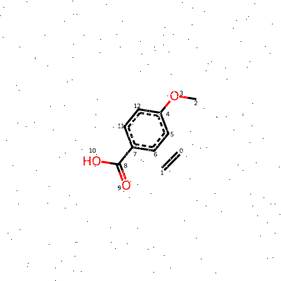 C=C.COc1ccc(C(=O)O)cc1